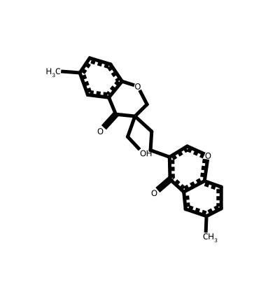 Cc1ccc2c(c1)C(=O)C(CO)(CCc1coc3ccc(C)cc3c1=O)CO2